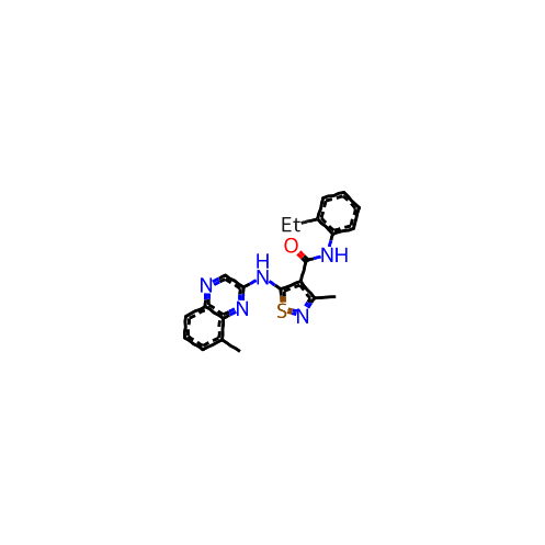 CCc1ccccc1NC(=O)c1c(C)nsc1Nc1cnc2cccc(C)c2n1